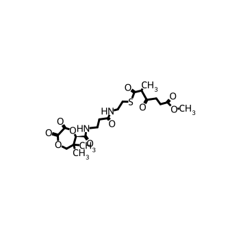 COC(=O)CCC(=O)C(C)C(=O)SCCNC(=O)CCNC(=O)[C@@H]1OC(=O)C(=O)OCC1(C)C